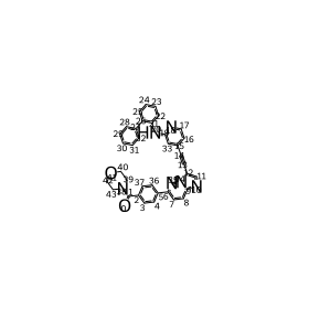 O=C(c1ccc(-c2ccc3ncc(C#Cc4ccnc(Nc5ccccc5-c5ccccc5)c4)n3n2)cc1)N1CCOCC1